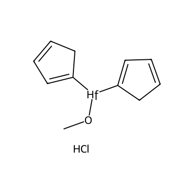 C[O][Hf]([C]1=CC=CC1)[C]1=CC=CC1.Cl